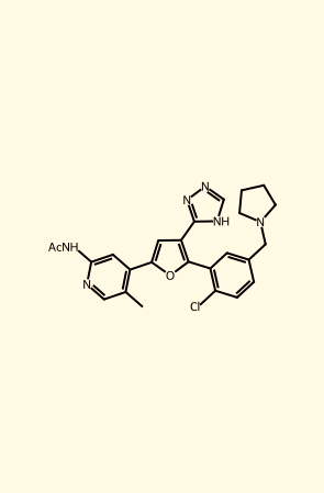 CC(=O)Nc1cc(-c2cc(-c3nnc[nH]3)c(-c3cc(CN4CCCC4)ccc3Cl)o2)c(C)cn1